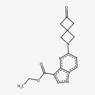 CCOC(=O)c1cnn2ccc(N3CC4(CC(=O)C4)C3)nc12